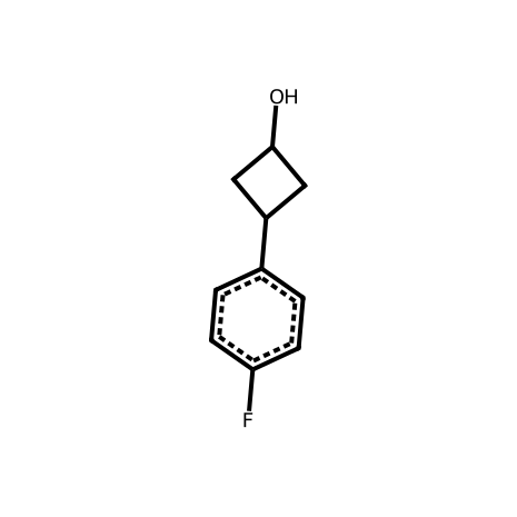 OC1CC(c2ccc(F)cc2)C1